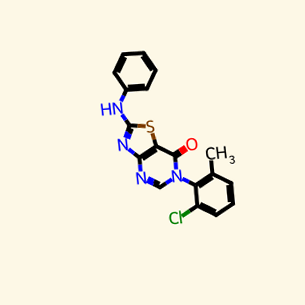 Cc1cccc(Cl)c1-n1cnc2nc(Nc3ccccc3)sc2c1=O